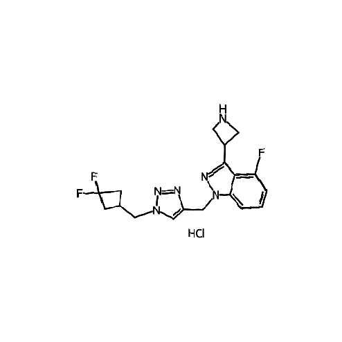 Cl.Fc1cccc2c1c(C1CNC1)nn2Cc1cn(CC2CC(F)(F)C2)nn1